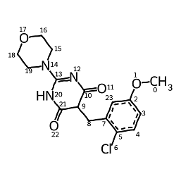 COc1ccc(Cl)c(CC2C(=O)N=C(N3CCOCC3)NC2=O)c1